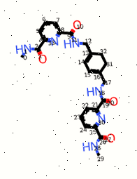 CNC(=O)c1cccc(C(=O)NCC2=CC=C(CNC(=O)c3cccc(C(=O)NC)n3)CC2)n1